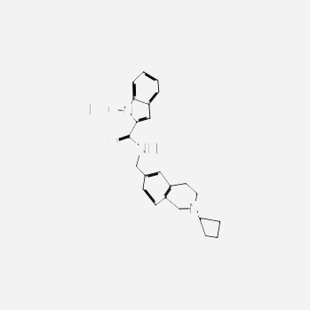 Cn1c(C(=O)NCc2ccc3c(c2)CCN(C2CCC2)C3)cc2ccccc21